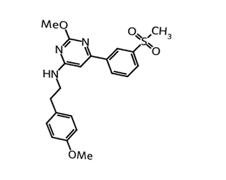 COc1ccc(CCNc2cc(-c3cccc(S(C)(=O)=O)c3)nc(OC)n2)cc1